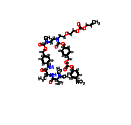 C=CCOC(=O)OCCOCCN(CCN(C)C(=O)OCc1ccc(NC(=O)[C@H](C)NC(=O)C(C(C)C)N(C)C)cc1)C(=O)Oc1ccc(COC(=O)Oc2ccc([N+](=O)[O-])cc2)cc1